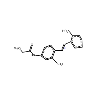 COCC(=O)Nc1ccc(/C=C/c2ccccc2S(=O)(=O)O)c(S(=O)(=O)O)c1